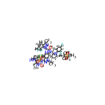 CC(C)(C#Cc1ccc(-c2ccc(Cl)c3c(N(C(=O)N4CCC[C@H]4CNC(=O)O)S(C)(=O)=O)nn(CC(F)(F)F)c23)c([C@H](Cc2cc(F)cc(F)c2)NC(=O)Cn2nc(C(F)(F)F)c3c2C(F)(F)[C@@H]2C[C@H]32)n1)S(C)(=O)=O